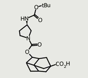 CC(C)(C)OC(=O)N[C@@H]1CCN(C(=O)OC2C3CC4CC2CC(C(=O)O)(C4)C3)C1